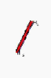 N/N=N/N=N/N=N/N=N/N=N/N=N/N=N/N=N/N=N/N=N/N=N/N=N/N=N/N=N/N=N/N=N/N=N/N=N/N=N/N=N/N=N/N